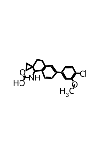 COc1cc(-c2ccc3c(c2)CCC2(CC2)C3NC(=O)O)ccc1Cl